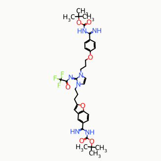 CC(C)(C)OC(=O)NC(=N)c1ccc(OCCCn2ccn(CCCc3cc4cc(C(=N)NC(=O)OC(C)(C)C)ccc4o3)/c2=N\C(=O)C(F)(F)F)cc1